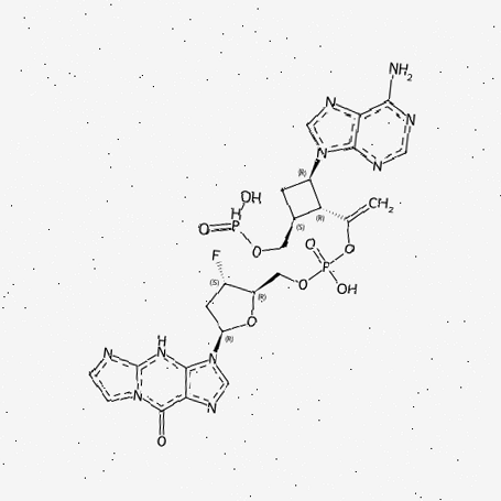 C=C(OP(=O)(O)OC[C@H]1O[C@@H](n2cnc3c(=O)n4ccnc4[nH]c32)C[C@@H]1F)[C@@H]1[C@@H](CO[PH](=O)O)C[C@H]1n1cnc2c(N)ncnc21